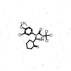 COc1ccc(N2C(=O)N(C(Cl)(Cl)Cl)NC2C2CCCCC2=S)cc1Cl